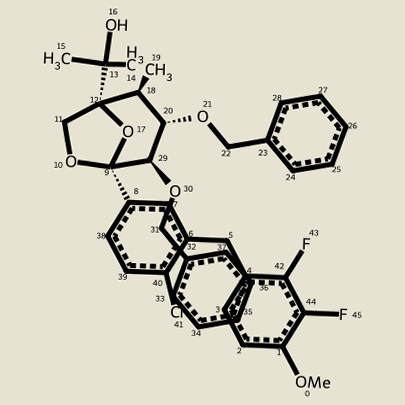 COc1ccc(Cc2cc([C@]34OC[C@](C(C)(C)O)(O3)[C@@H](C)[C@H](OCc3ccccc3)[C@H]4OCc3ccccc3)ccc2Cl)c(F)c1F